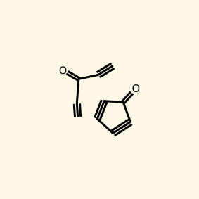 C#CC(=O)C#C.O=C1C#CC#C1